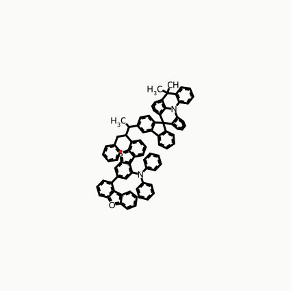 CC(c1ccc2c(c1)-c1ccccc1C21c2ccccc2N2c3ccccc3C(C)(C)c3cccc1c32)C(Cc1ccccc1)c1cccc2c1sc1cc(-c3cccc4oc5ccccc5c34)cc(N(c3ccccc3)c3ccccc3)c12